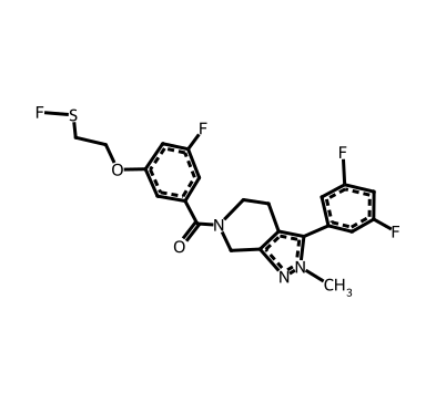 Cn1nc2c(c1-c1cc(F)cc(F)c1)CCN(C(=O)c1cc(F)cc(OCCSF)c1)C2